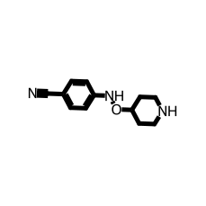 N#Cc1ccc(NOC2CCNCC2)cc1